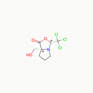 O=C1O[C@H](C(Cl)(Cl)Cl)N2CCC[C@@]12CO